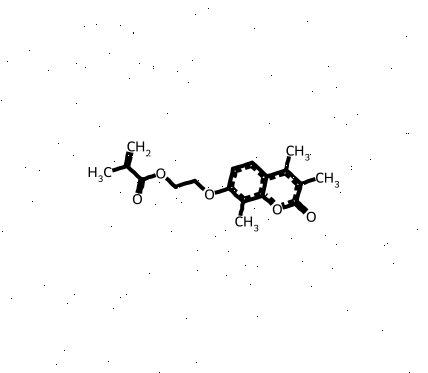 C=C(C)C(=O)OCCOc1ccc2c(C)c(C)c(=O)oc2c1C